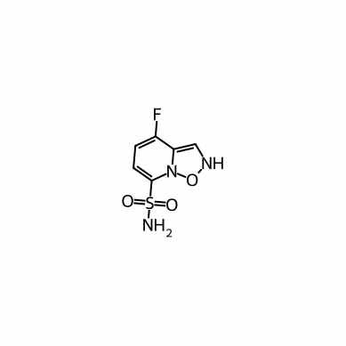 NS(=O)(=O)C1=CC=C(F)C2=CNON21